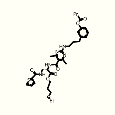 CCOCCCOC(=O)[C@H](CNC(=O)c1cccs1)NC(=O)c1c(C)nc(NCCCc2cccc(OC(=O)C(C)C)c2)nc1C